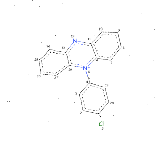 [Cl-].c1ccc(-[n+]2c3ccccc3nc3ccccc32)cc1